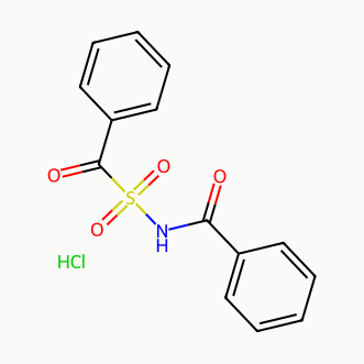 Cl.O=C(NS(=O)(=O)C(=O)c1ccccc1)c1ccccc1